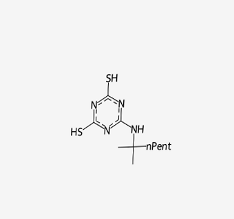 CCCCCC(C)(C)Nc1nc(S)nc(S)n1